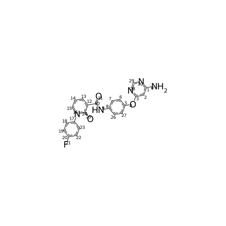 Nc1cc(Oc2ccc(NC(=O)c3cccn(-c4ccc(F)cc4)c3=O)cc2)ncn1